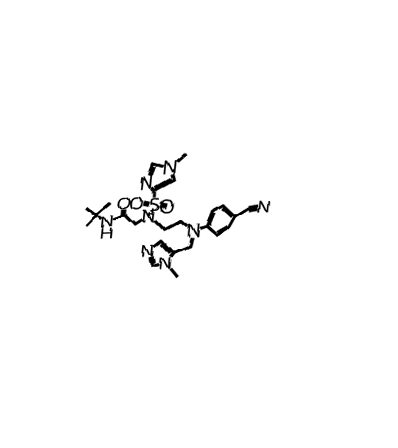 Cn1cnc(S(=O)(=O)N(CCN(Cc2cncn2C)c2ccc(C#N)cc2)CC(=O)NC(C)(C)C)c1